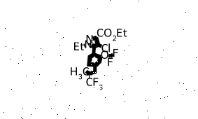 CCOC(=O)c1nn(CC)c(-c2ccc(C[C@@H](C)C(F)(F)F)cc2OC(F)F)c1Cl